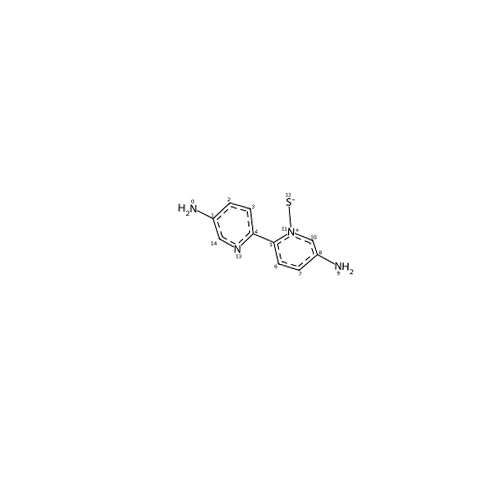 Nc1ccc(-c2ccc(N)c[n+]2[S-])nc1